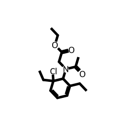 CCOC(=O)CN(C(C)=O)C1C(CC)=CC=CC1(Cl)CC